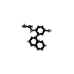 OBOc1ccc(Cl)cc1-c1cccc2ccccc12